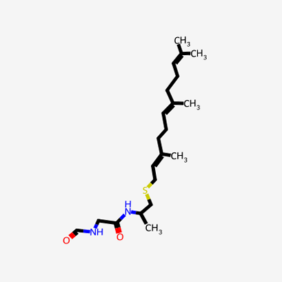 CC(C)=CCC/C(C)=C/CC/C(C)=C/CSCC(C)NC(=O)CNC=O